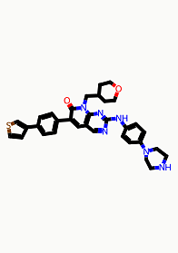 O=c1c(-c2ccc(-c3ccsc3)cc2)cc2cnc(Nc3ccc(N4CCNCC4)cc3)nc2n1CC1CCOCC1